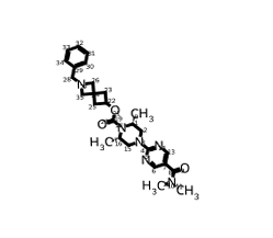 C[C@@H]1CN(c2ncc(C(=O)N(C)C)cn2)C[C@H](C)N1C(=O)OC1CC2(C1)CN(Cc1ccccc1)C2